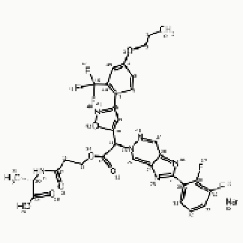 CCCOc1ccc(-c2cc(C(C(=O)OCCC(=O)N[C@@H](C)C(=O)O)n3cc4nc(-c5cccc(F)c5F)nc-4cn3)on2)c(C(F)(F)F)c1.[Na]